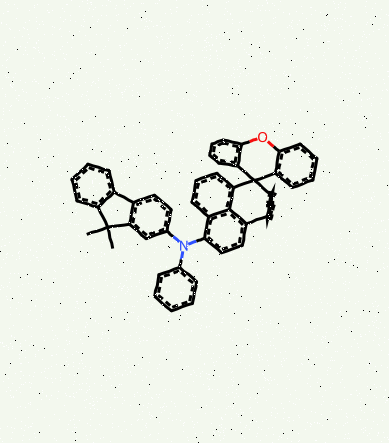 CC1(C)c2ccccc2-c2ccc(N(c3ccccc3)c3ccc4c5c(cccc35)C3(c5ccccc5Oc5ccccc53)c3ccccc3-4)cc21